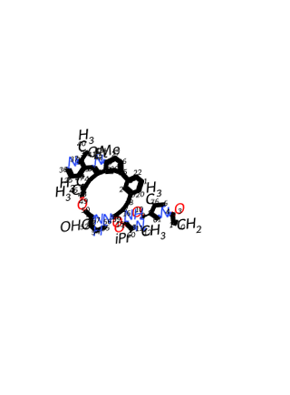 C=CC(=O)N1C[C@@H](C)[C@H](C(=O)N(C)[C@H](C(=O)N[C@H]2Cc3cccc(c3)-c3ccc4c(c3)c(c(-c3cccnc3[C@H](C)OC)n4CC)CC(C)(C)COC[C@@]3(C=O)CCCN(N3)C2=O)C(C)C)C1